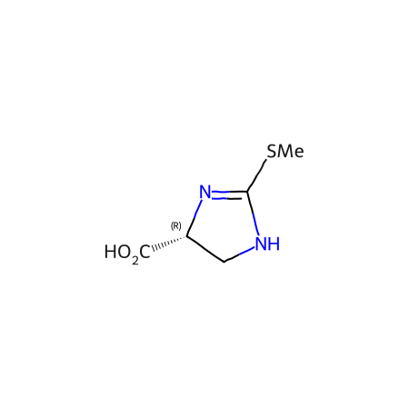 CSC1=N[C@@H](C(=O)O)CN1